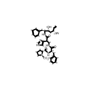 C=C[C@@H](C[C@@H](O)[C@H](Cc1ccccc1)NC(=O)C(CNC(=O)[C@H](Cc1ccccc1)NC(=O)[C@H]1CCCN1C(=O)O)c1c[nH]cn1)C(C)C